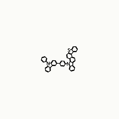 c1ccc(-n2c3ccccc3c3cc(-c4ccc(-n5c6ccccc6c6ccc7c(ccc8sc9ccccc9c87)c65)cc4)ccc32)cc1